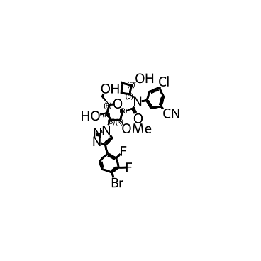 CO[C@@H]1[C@@H](n2cc(-c3ccc(Br)c(F)c3F)nn2)[C@@H](O)[C@@H](CO)O[C@H]1C(=O)N(c1cc(Cl)cc(C#N)c1)[C@H]1CC[C@@H]1O